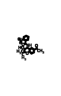 CC(=O)c1ccc2c(c1)[C@@H](NC(=O)c1ccccc1[N+](=O)[O-])[C@H](O)C(C)(C)O2